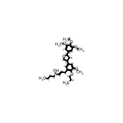 CCCCN(O)/C=C/Cc1cc(C2COC(c3cc(OC)c(OC)c(OC)c3)C2)cc(OC)c1OCCC